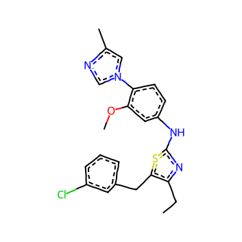 CCc1nc(Nc2ccc(-n3cnc(C)c3)c(OC)c2)sc1Cc1cccc(Cl)c1